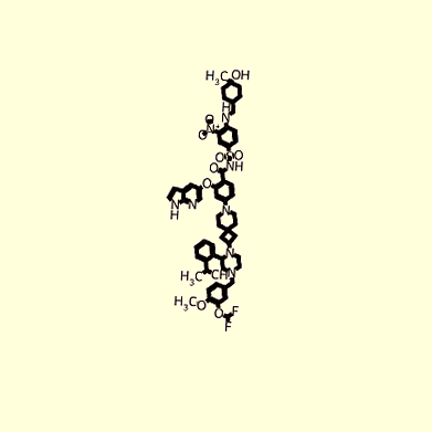 COc1ccc(CN2CCN(C3CC4(CCN(c5ccc(C(=O)NS(=O)(=O)c6ccc(NCC7CCC(C)(O)CC7)c([N+](=O)[O-])c6)c(Oc6cnc7[nH]ccc7c6)c5)CC4)C3)C(c3ccccc3C(C)C)C2)cc1OC(F)F